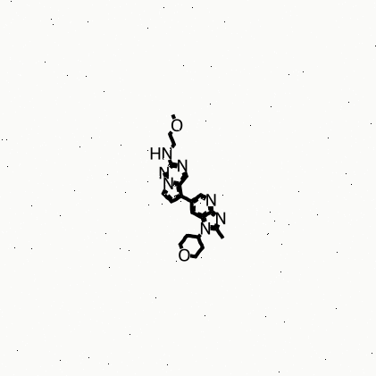 COCCNc1ncc2c(-c3cnc4nc(C)n(C5CCOCC5)c4c3)ccn2n1